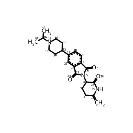 C=C1CCC(N2C(=O)c3ccc(C4CCN(C(C)C)CC4)cc3C2=O)C(=O)N1